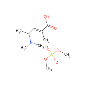 CC(=CC(C)N(C)C)C(=O)O.COS(=O)(=O)OC